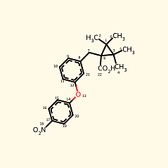 CC1(C)C(C)(C)C1(Cc1cccc(Oc2ccc([N+](=O)[O-])cc2)c1)C(=O)O